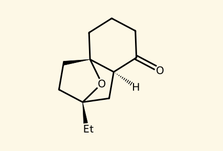 CC[C@]12CC[C@]3(CCCC(=O)[C@H]3C1)O2